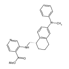 COC(=O)c1ccncc1NC[C@H]1CCCc2cc(N(C)c3ccccc3)ccc21